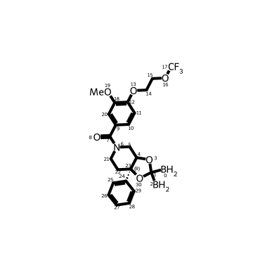 BC1(B)OC2CN(C(=O)c3ccc(OCCOC(F)(F)F)c(OC)c3)CC[C@]2(c2ccccc2)O1